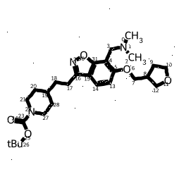 CN(C)Cc1c(OCC2CCOC2)ccc2c(CCC3CCN(C(=O)OC(C)(C)C)CC3)noc12